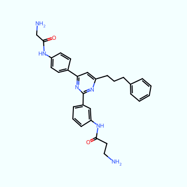 NCCC(=O)Nc1cccc(-c2nc(CCCc3ccccc3)cc(-c3ccc(NC(=O)CN)cc3)n2)c1